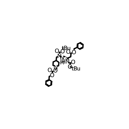 CC(C)(C)OC(=O)N[C@H](CNN(CC1CCN(OC(=O)OCc2ccccc2)CC1)C(=O)OC(C)(C)C)CC(=O)OCc1ccccc1